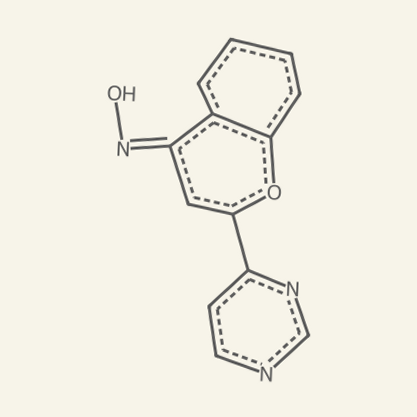 O/N=c1/cc(-c2ccncn2)oc2ccccc12